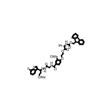 COCC/C(=N\NC(=O)CNC(=O)c1ccc(OCCOC(=O)[C@@H](NC(=O)OCC2c3ccccc3-c3ccccc32)C(C)C)c(OC)c1)c1csc2c(F)cccc12